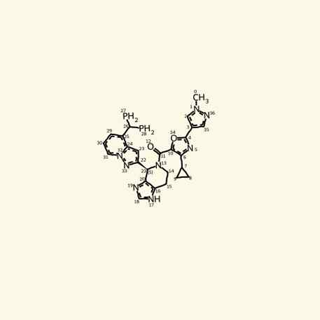 Cn1cc(-c2nc(C3CC3)c(C(=O)N3CCc4[nH]cnc4[C@H]3c3cc4c(C(P)P)cccn4n3)o2)cn1